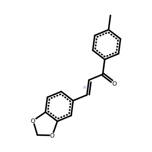 Cc1ccc(C(=O)/C=C/c2ccc3c(c2)OCO3)cc1